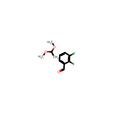 COC(C)OC.O=Cc1cccc(F)c1F